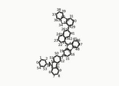 c1ccc(-n2c3ccccc3c3cc(-c4ccc5c(c4)C(c4cccc6cc(-c7cccc8c7Cc7ccccc7-8)ccc46)c4ccccc4-5)ccc32)cc1